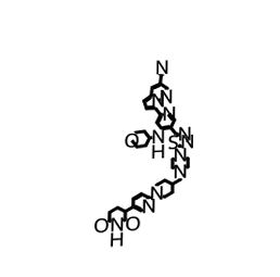 N#Cc1cnn2c(-c3cc(NC4CCOCC4)c(-c4nnc(N5CCN(CC6CCN(c7ccc(C8CCC(=O)NC8=O)cn7)CC6)CC5)s4)cn3)ccc2c1